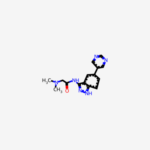 CN(C)CC(=O)Nc1n[nH]c2ccc(-c3cncnc3)cc12